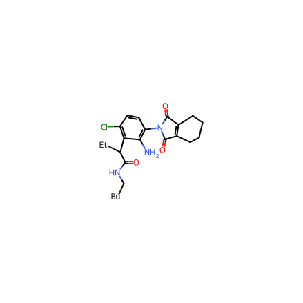 CCC(C)CNC(=O)C(CC)c1c(Cl)ccc(N2C(=O)C3=C(CCCC3)C2=O)c1N